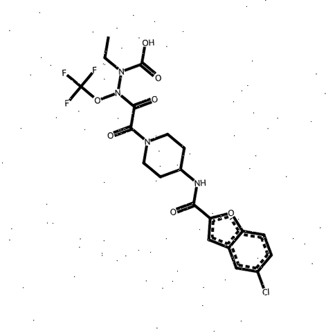 CCN(C(=O)O)N(OC(F)(F)F)C(=O)C(=O)N1CCC(NC(=O)c2cc3cc(Cl)ccc3o2)CC1